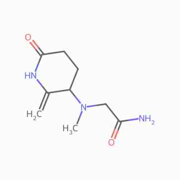 C=C1NC(=O)CCC1N(C)CC(N)=O